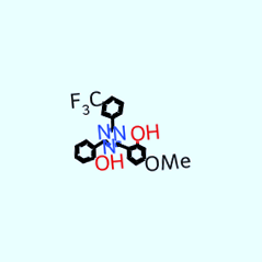 COc1ccc(-c2nc(-c3cccc(C(F)(F)F)c3)nc(-c3ccccc3O)n2)c(O)c1